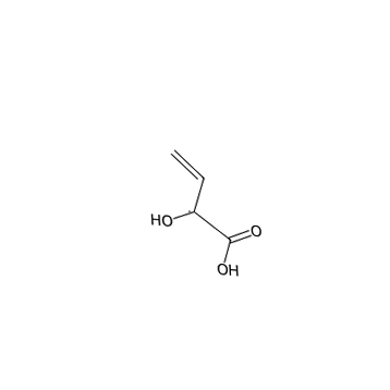 C=C[C](O)C(=O)O